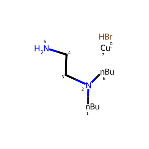 Br.CCCCN(CCN)CCCC.[Cu]